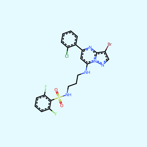 O=S(=O)(NCCCNc1cc(-c2ccccc2Cl)nc2c(Br)cnn12)c1c(F)cccc1F